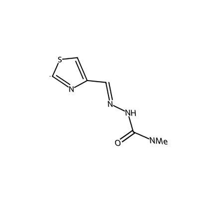 CNC(=O)NN=Cc1cs[c]n1